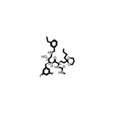 CCCCC1(CC[C@@H](NC(=O)NC)C(=O)N[C@@H](Cc2cc(F)cc(F)c2)[C@H](O)CNCc2cccc(CC)c2)OCCCO1